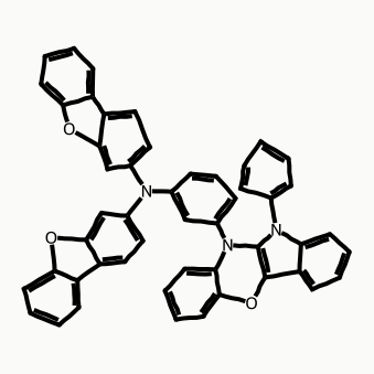 c1ccc(-n2c3c(c4ccccc42)Oc2ccccc2N3c2cccc(N(c3ccc4c(c3)oc3ccccc34)c3ccc4c(c3)oc3ccccc34)c2)cc1